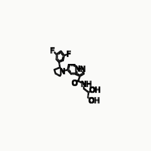 O=C(NCC(O)CO)c1cnn2ccc(N3CCCC3c3cc(F)cc(F)c3)cc12